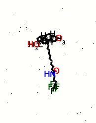 C[C@]12CCC(=O)C[C@@H]1CC[C@@H]1[C@@H]2[C@@H](CCCCCCCCCCC(=O)NCCCC(F)(F)C(F)(F)F)C[C@]2(C)[C@@H](O)CC[C@@H]12